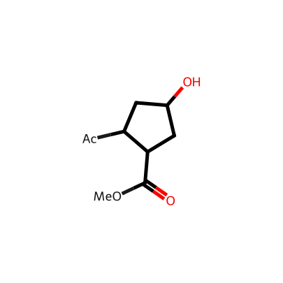 COC(=O)C1CC(O)CC1C(C)=O